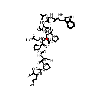 CSCC[C@H](NC(=O)[C@@H]1CCCN1C(=O)[C@H](CS)NC(=O)[C@@H]1CCCN1C(=O)[C@H](CCC(=O)O)NC(=O)[C@@H]1CCCN1C(=O)[C@@H](NC(=O)[C@H](CO)NC(=O)[C@H](CC(C)C)NC(=O)[C@@H](N)Cc1c[nH]c2ccccc12)[C@@H](C)O)C(N)=O